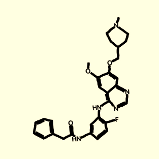 COc1cc2c(Nc3cc(NC(=O)Cc4ccccc4)ccc3F)ncnc2cc1OCC1CCN(C)CC1